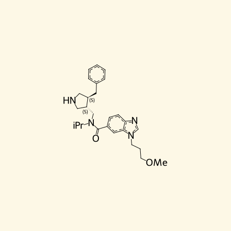 COCCCn1cnc2ccc(C(=O)N(C[C@@H]3CNC[C@H]3Cc3ccccc3)C(C)C)cc21